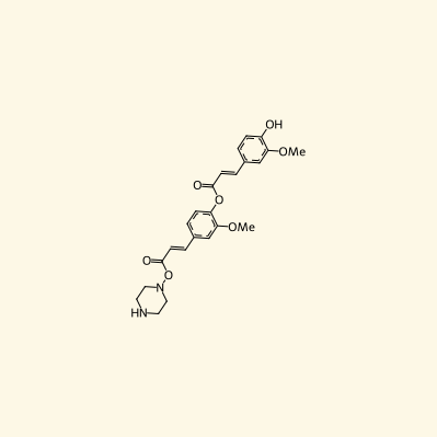 COc1cc(C=CC(=O)Oc2ccc(C=CC(=O)ON3CCNCC3)cc2OC)ccc1O